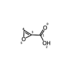 O=C(O)C1=CO1